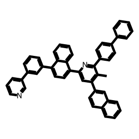 Cc1c(-c2ccc3ccccc3c2)cc(-c2ccc(-c3cccc(-c4cccnc4)c3)c3ccccc23)nc1-c1ccc(-c2ccccc2)cc1